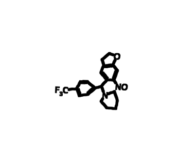 O=Nc1cc2c(cc1C(c1ccc(C(F)(F)F)cc1)N1CCCCC1)CCO2